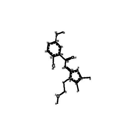 COCCn1c(C)c(C)sc1=NC(=O)c1cc(SC)ccc1Cl